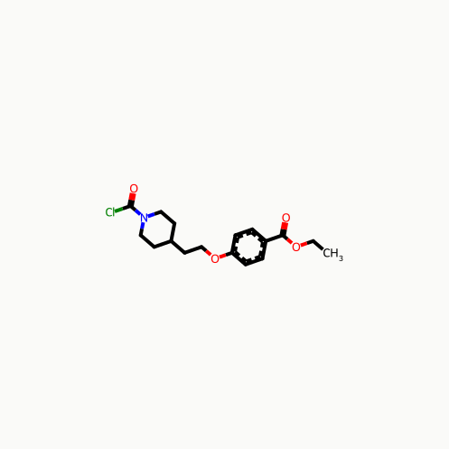 CCOC(=O)c1ccc(OCCC2CCN(C(=O)Cl)CC2)cc1